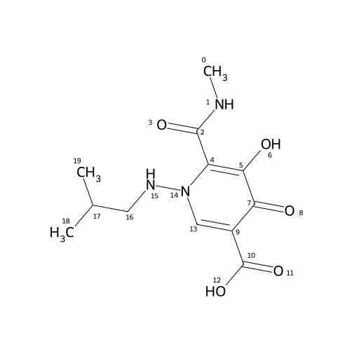 CNC(=O)c1c(O)c(=O)c(C(=O)O)cn1NCC(C)C